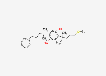 CCSCCCC(C)(C)c1cc(O)c(C(C)(C)CCCc2ccccc2)cc1O